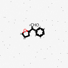 O=CC(c1ccccc1)C1CCCO1